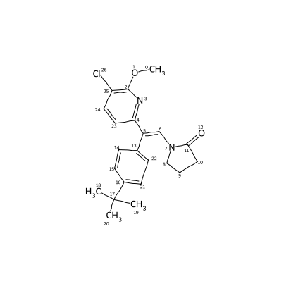 COc1nc(C(=CN2CCCC2=O)c2ccc(C(C)(C)C)cc2)ccc1Cl